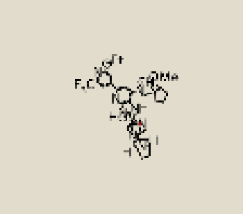 CCOc1cc(-c2cc(N(C)CC3(COC)CCCC3)c3[nH]c(-c4cnc(N5[C@@H]6CC[C@H]5C[C@@H](OCC(=O)O)C6)cn4)nc3n2)cc(C(F)(F)F)n1